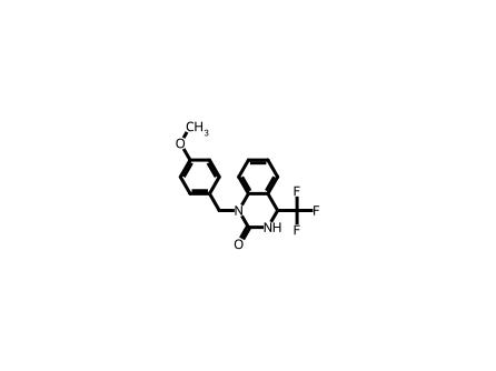 COc1ccc(CN2C(=O)NC(C(F)(F)F)c3ccccc32)cc1